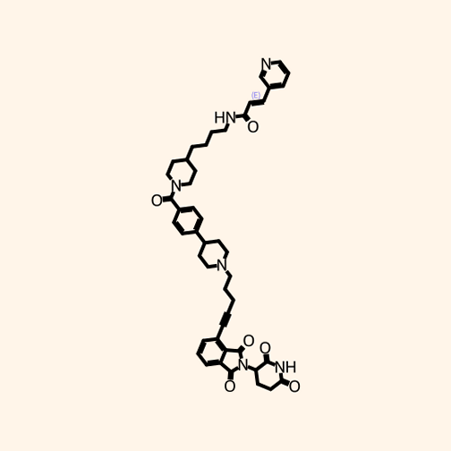 O=C(/C=C/c1cccnc1)NCCCCC1CCN(C(=O)c2ccc(C3CCN(CCCC#Cc4cccc5c4C(=O)N(C4CCC(=O)NC4=O)C5=O)CC3)cc2)CC1